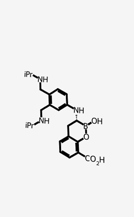 CC(C)NCc1ccc(N[C@H]2Cc3cccc(C(=O)O)c3OB2O)cc1CNC(C)C